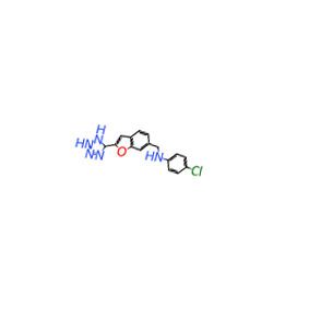 Clc1ccc(NCc2ccc3cc(C4N=NNN4)oc3c2)cc1